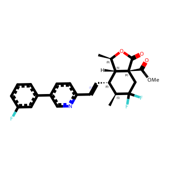 COC(=O)[C@@]12CC(F)(F)[C@@H](C)[C@H](/C=C/c3ccc(-c4cccc(F)c4)cn3)[C@@H]1[C@@H](C)OC2=O